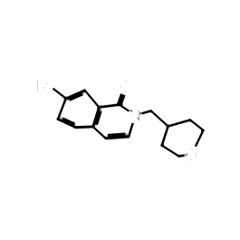 O=c1c2cc(Br)ccc2ccn1CC1CCOCC1